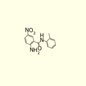 Cc1ccccc1NC(=O)c1cc([N+](=O)[O-])ccc1N